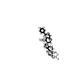 CN(C)/C=N\c1ncnc2c1ncn2C1COC2COC(c3ccccc3)OC2C1O